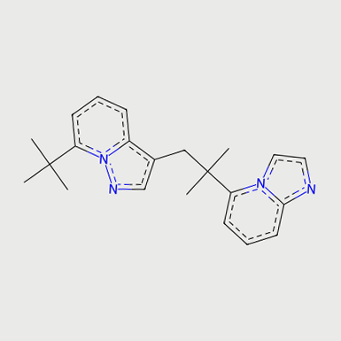 CC(C)(C)c1cccc2c(CC(C)(C)c3cccc4nccn34)cnn12